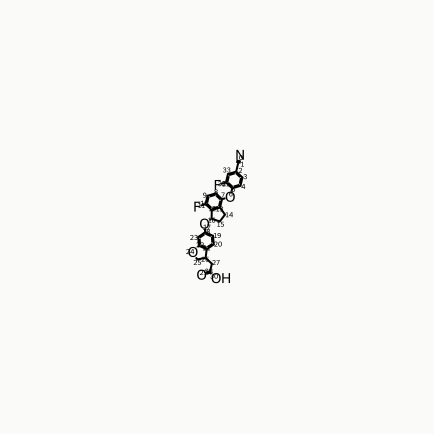 N#Cc1ccc(Oc2ccc(F)c3c2CC[C@H]3Oc2ccc3c(c2)OCC3CC(=O)O)c(F)c1